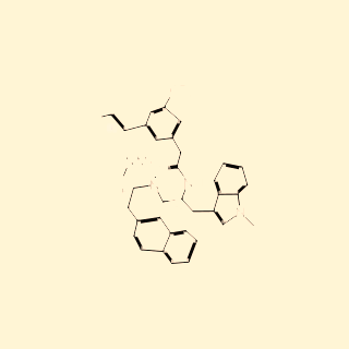 CNC[C@@H](Cc1ccc2ccccc2c1)N(C)C[C@H](Cc1cn(C)c2ccccc12)NC(=O)Cc1cc(/C=C/F)cc(C(F)(F)F)c1